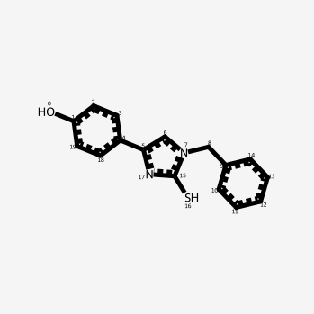 Oc1ccc(-c2cn(Cc3ccccc3)c(S)n2)cc1